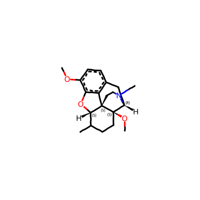 COc1ccc2c3c1O[C@H]1C(C)CC[C@@]4(OC)[C@@H](C2)N(C)CC[C@]314